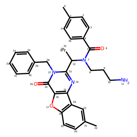 Cc1ccc(C(=O)N(CCCN)C(c2nc3c(oc4ccc(C)cc43)c(=O)n2Cc2ccccc2)C(C)C)cc1